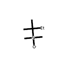 CCC(C)(C)[Si](C)(C)[O]